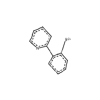 [Ir+2][c]1ccccc1-c1ccccn1